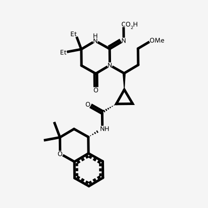 CCC1(CC)CC(=O)N(C(CCOC)[C@H]2C[C@@H]2C(=O)N[C@H]2CC(C)(C)Oc3ccccc32)C(=NC(=O)O)N1